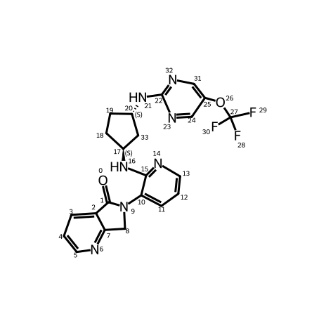 O=C1c2cccnc2CN1c1cccnc1N[C@H]1CC[C@H](Nc2ncc(OC(F)(F)F)cn2)C1